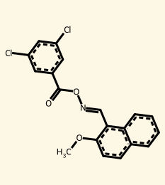 COc1ccc2ccccc2c1/C=N/OC(=O)c1cc(Cl)cc(Cl)c1